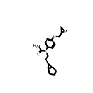 NC(=O)N(CCC1C2CCCC21)c1ccc(OCC2CO2)cc1